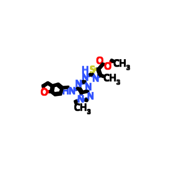 CCOC(=O)c1sc(Nc2nc(NCc3ccc4c(c3)CCO4)c3c(ncn3CC)n2)nc1C